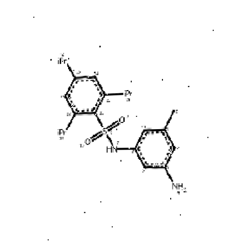 Cc1cc(N)cc(NS(=O)(=O)c2c(C(C)C)cc(C(C)C)cc2C(C)C)c1